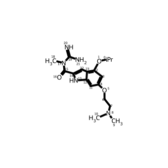 CC(C)Oc1cc(OCCN(C)C)cc2[nH]c(C(=O)N(C)C(=N)N)cc12